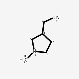 CN1CCC(CC#N)C1